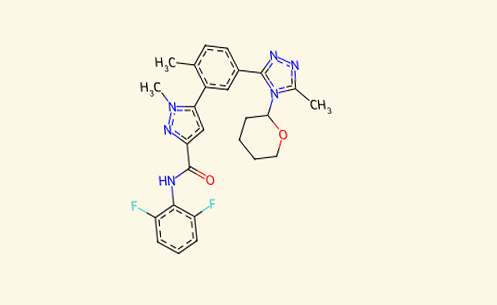 Cc1ccc(-c2nnc(C)n2C2CCCCO2)cc1-c1cc(C(=O)Nc2c(F)cccc2F)nn1C